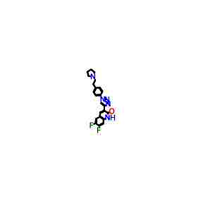 O=c1[nH]c2cc(F)c(F)cc2cc1-c1cn(-c2ccc(CCN3CCCC3)cc2)nn1